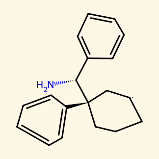 N[C@H](c1ccccc1)[C@]1(c2ccccc2)C[CH]CCC1